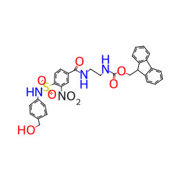 O=C(NCCNC(=O)c1ccc(S(=O)(=O)Nc2ccc(CO)cc2)c([N+](=O)[O-])c1)OCC1c2ccccc2-c2ccccc21